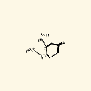 O=C1CC[C@H](NC(=O)O)[C@@H](NC(=O)O)C1